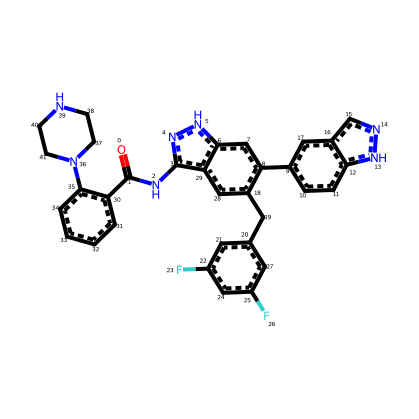 O=C(Nc1n[nH]c2cc(-c3ccc4[nH]ncc4c3)c(Cc3cc(F)cc(F)c3)cc12)c1ccccc1N1CCNCC1